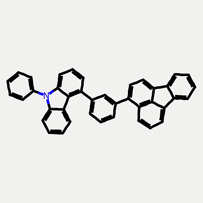 c1ccc(-n2c3ccccc3c3c(-c4cccc(-c5ccc6c7c(cccc57)-c5ccccc5-6)c4)cccc32)cc1